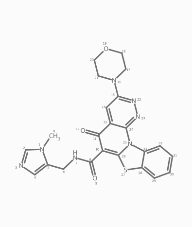 Cn1cncc1CNC(=O)c1c(=O)c2cc(N3CCOCC3)nnc2n2c1sc1ccccc12